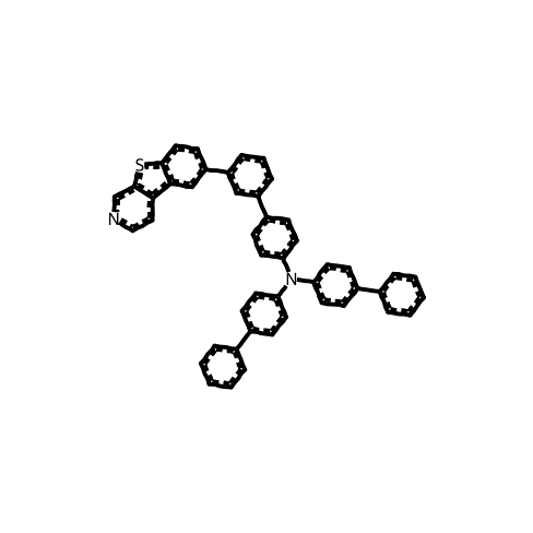 c1ccc(-c2ccc(N(c3ccc(-c4ccccc4)cc3)c3ccc(-c4cccc(-c5ccc6sc7cnccc7c6c5)c4)cc3)cc2)cc1